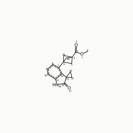 COC(=O)C12CC(c3cccc4c3C3(CC3)C(=O)N4)(C1)C2